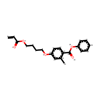 C=CC(=O)OCCCCOc1ccc(C(=O)Oc2ccccc2)c(C)c1